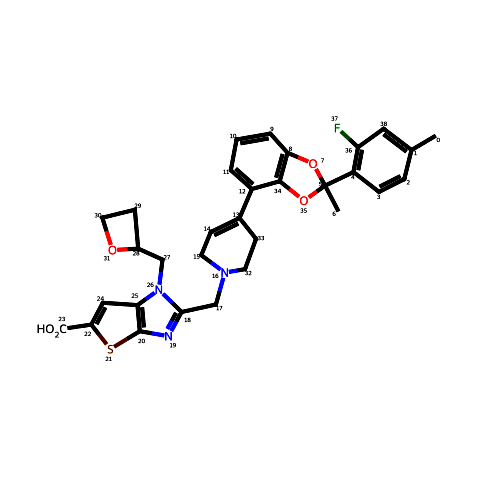 Cc1ccc(C2(C)Oc3cccc(C4=CCN(Cc5nc6sc(C(=O)O)cc6n5CC5CCO5)CC4)c3O2)c(F)c1